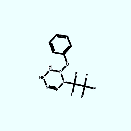 FC(F)(F)C(F)(F)n1pn[pH][nH]p1Oc1ccccc1